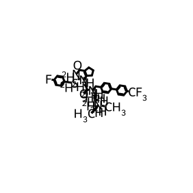 [2H]C([2H])(Sc1nc(=O)c2c(n1C([2H])([2H])C(=O)N(Cc1ccc(-c3ccc(C(F)(F)F)cc3)cc1)C([2H])([2H])C([2H])([2H])N(C([2H])([2H])C)C([2H])([2H])C)CCC2)c1ccc(F)cc1